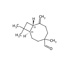 C=C1CCC(C)(C=O)CC[C@@H]2[C@@H]1CC2(C)C